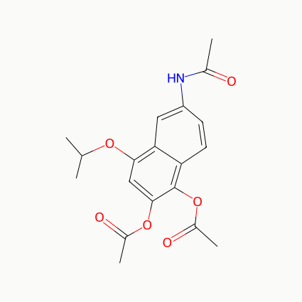 CC(=O)Nc1ccc2c(OC(C)=O)c(OC(C)=O)cc(OC(C)C)c2c1